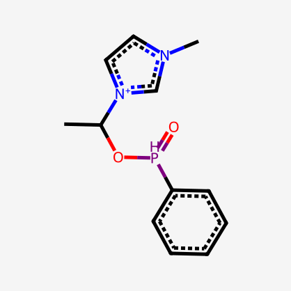 CC(O[PH](=O)c1ccccc1)[n+]1ccn(C)c1